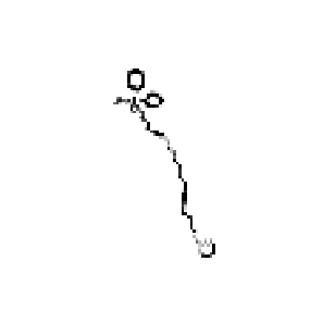 CC(C)(C)[Si](OCCCCC#CCCCCCCCC#CCCCCOC1CCCCO1)(c1ccccc1)c1ccccc1